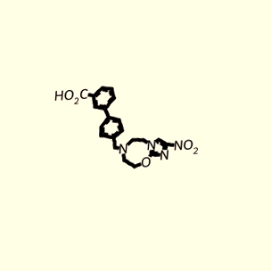 O=C(O)c1cccc(-c2ccc(CN3CCOc4nc([N+](=O)[O-])cn4CC3)cc2)c1